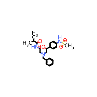 CC(C)C(=O)NCCN(Cc1ccccc1)CC(O)c1ccc(NS(C)(=O)=O)cc1